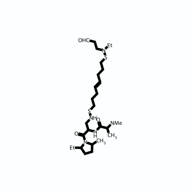 CCC1CCC(C)N1C(=O)C(CNSCCC/C=C/CCCSN(CC)CCC=O)NC(=O)C(C)NC